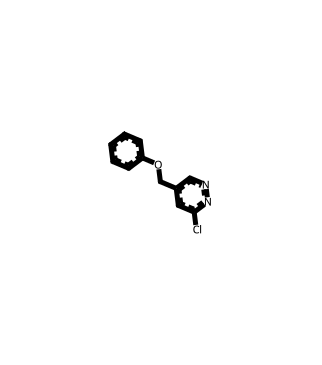 Clc1cc(COc2c[c]ccc2)cnn1